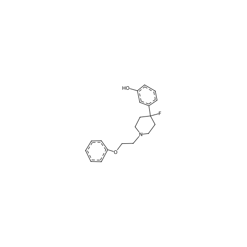 Oc1cccc(C2(F)CCN(CCOc3ccccc3)CC2)c1